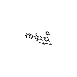 COC[C@@H]1[C@H]2CN(c3ccc(C(C)(C)C(=O)O)cc3)C(=O)N2CCN1CC1=C(C(=O)OC)[C@H](C)N=C(c2nccs2)N1